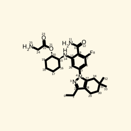 CCc1nn(-c2cc(F)c(C(N)=O)c(N[C@H]3CCCC[C@@H]3OC(=O)CN)c2)c2c1CCC(C)(C)C2